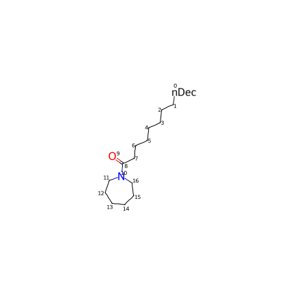 CCCCCCCCCCCCCCCCCC(=O)N1CCCCCC1